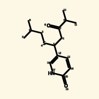 CC(C)CSC(CC(=O)C(C)C)c1ccc(=O)[nH]c1